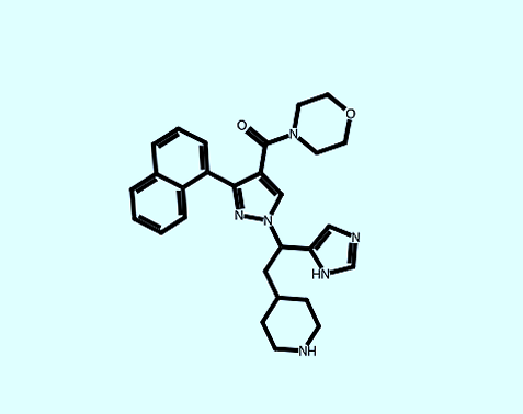 O=C(c1cn(C(CC2CCNCC2)c2cnc[nH]2)nc1-c1cccc2ccccc12)N1CCOCC1